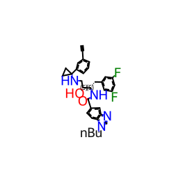 C#Cc1cccc(C2(NC[C@H](O)[C@H](Cc3cc(F)cc(F)c3)NC(=O)c3ccc4c(c3)ncn4CCCC)CC2)c1